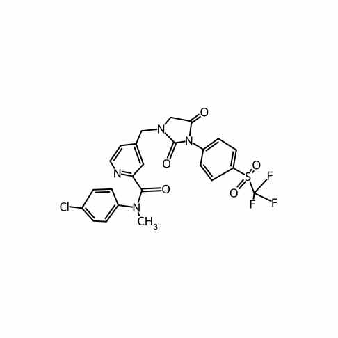 CN(C(=O)c1cc(CN2CC(=O)N(c3ccc(S(=O)(=O)C(F)(F)F)cc3)C2=O)ccn1)c1ccc(Cl)cc1